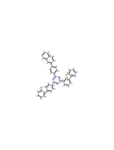 c1ccc2cc(-c3ccc(-c4nc(-c5ccc6c(c5)sc5ccccc56)nc(-c5cccc6c5sc5ccccc56)n4)cc3)ccc2c1